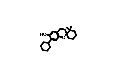 CC1(C)CCCCC12CCc1cc(O)c(C3CCCCC3)cc1O2